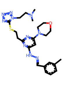 Cc1cccc(C=NNc2cc(N3CCOCC3)nc(CCSc3nnnn3CCN(C)C)n2)c1